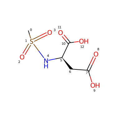 CS(=O)(=O)N[C@H](CC(=O)O)C(=O)O